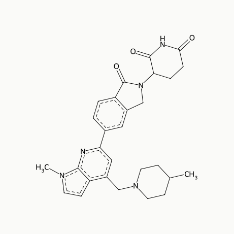 CC1CCN(Cc2cc(-c3ccc4c(c3)CN(C3CCC(=O)NC3=O)C4=O)nc3c2ccn3C)CC1